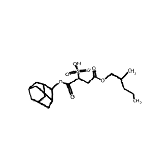 CCCC(C)COC(=O)CC(C(=O)OC1C2CC3CC(C2)CC1C3)S(=O)(=O)O